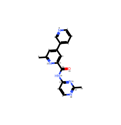 Cc1cc(-c2cccnc2)cc(C(=O)Nc2ccnc(C)n2)n1